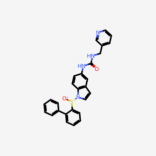 O=C(NCc1cccnc1)Nc1ccc2c(ccn2[S+]([O-])c2ccccc2-c2ccccc2)c1